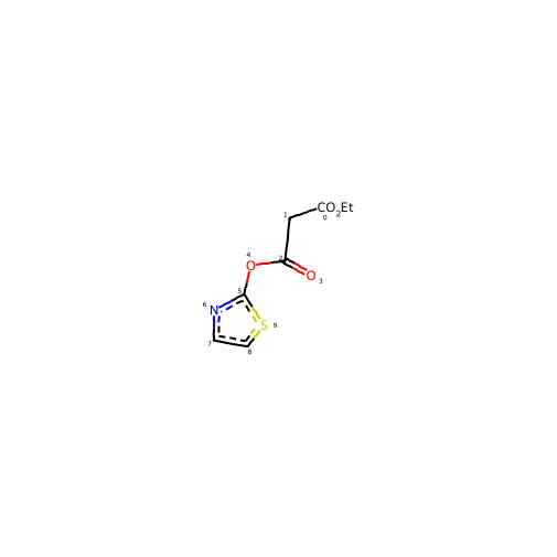 CCOC(=O)CC(=O)Oc1nccs1